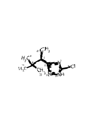 CC(c1n[nH]c(Cl)n1)C(C)(C)C